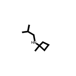 CC(C)CNC1(C)CCC1